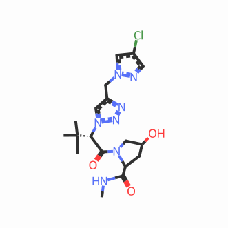 CNC(=O)C1CC(O)CN1C(=O)[C@@H](n1cc(Cn2cc(Cl)cn2)nn1)C(C)(C)C